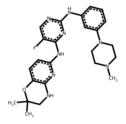 CN1CCN(c2cccc(Nc3ncc(F)c(Nc4ccc5c(n4)NCC(C)(C)O5)n3)c2)CC1